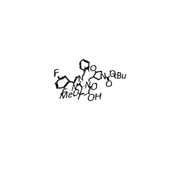 COC(C)(C)[C@H](c1nc(-c2cc(F)ccc2F)cn1Cc1ccccc1)N(CC1CN(C(=O)OC(C)(C)C)CC1O)C(=O)[C@H](C)O